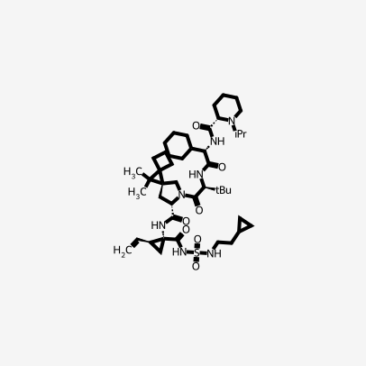 C=C[C@@H]1C[C@]1(NC(=O)[C@@H]1C[C@@]2(CN1C(=O)[C@@H](NC(=O)[C@@H](NC(=O)[C@@H]1CCCCN1C(C)C)C1CCCCC1)C(C)(C)C)C(C)(C)C21CCC1)C(=O)NS(=O)(=O)NCCC1CC1